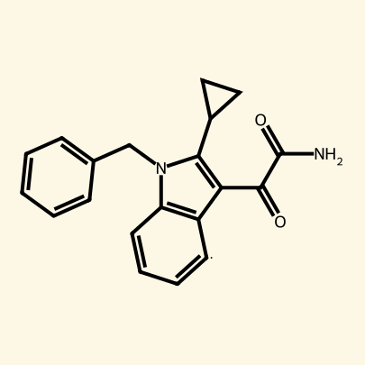 NC(=O)C(=O)c1c(C2CC2)n(Cc2ccccc2)c2ccc[c]c12